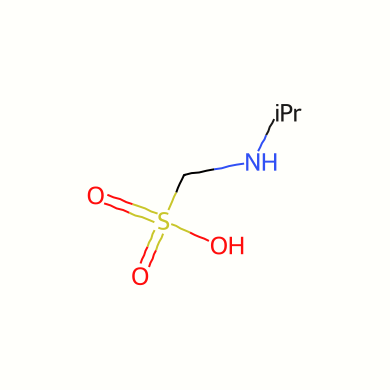 CC(C)NCS(=O)(=O)O